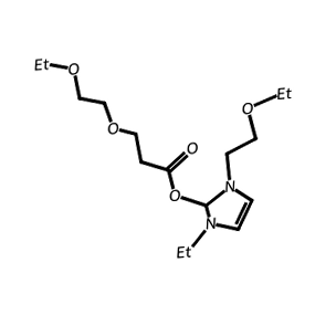 CCOCCOCCC(=O)OC1N(CC)C=CN1CCOCC